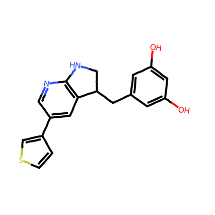 Oc1cc(O)cc(CC2CNc3ncc(-c4ccsc4)cc32)c1